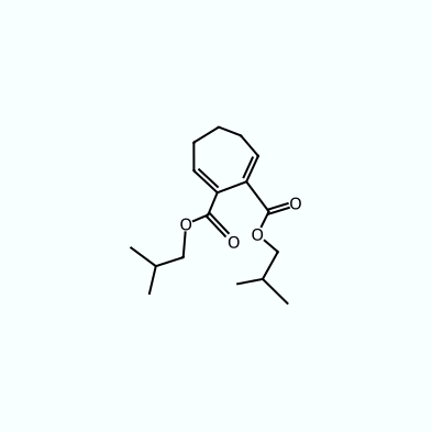 CC(C)COC(=O)C1=CCCCC=C1C(=O)OCC(C)C